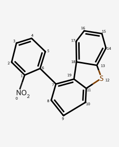 O=[N+]([O-])c1ccccc1-c1cccc2sc3ccccc3c12